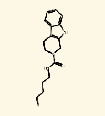 CCCCCNC(=O)N1CCc2c([nH]c3ccccc23)C1